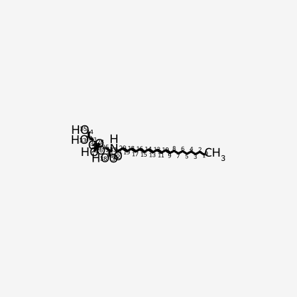 CCCCCCCCCC=CC=CC=CC=CC=CC=CC(=O)NC(COP(=O)(O)OCC(O)CO)C(=O)O